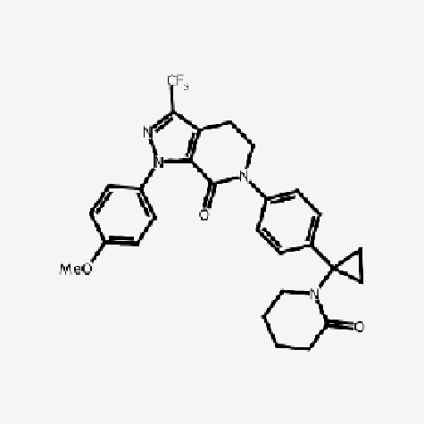 COc1ccc(-n2nc(C(F)(F)F)c3c2C(=O)N(c2ccc(C4(N5CCCCC5=O)CC4)cc2)CC3)cc1